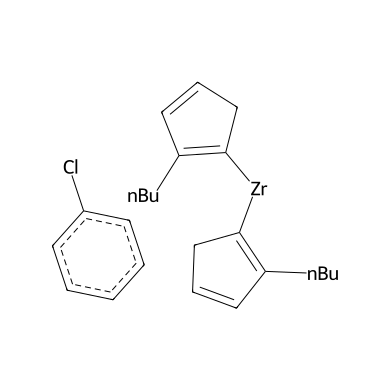 CCCCC1=[C]([Zr][C]2=C(CCCC)C=CC2)CC=C1.Clc1ccccc1